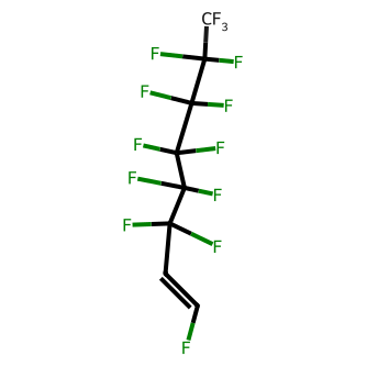 FC=CC(F)(F)C(F)(F)C(F)(F)C(F)(F)C(F)(F)C(F)(F)F